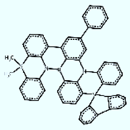 C[Si]1(C)c2ccccc2N2B3c4cccc5c4N(c4ccccc4[Si]54c5ccccc5-c5ccccc54)c4cc(-c5ccccc5)cc(c43)-c3cccc1c32